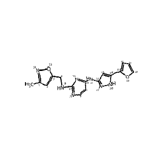 Cc1cc(CNc2nccc(Nc3cc(-c4ccco4)[nH]n3)n2)on1